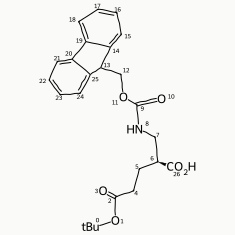 CC(C)(C)OC(=O)CC[C@@H](CNC(=O)OCC1c2ccccc2-c2ccccc21)C(=O)O